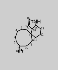 CC(C)C1CCCCCC2(CCC1)CCCC1NC=CC12